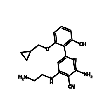 N#Cc1c(NCCN)cc(-c2c(O)cccc2OCC2CC2)nc1N